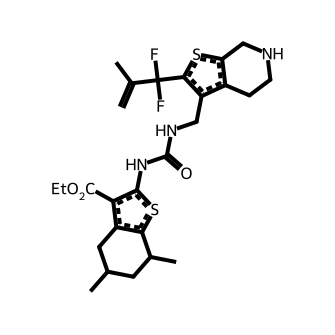 C=C(C)C(F)(F)c1sc2c(c1CNC(=O)Nc1sc3c(c1C(=O)OCC)CC(C)CC3C)CCNC2